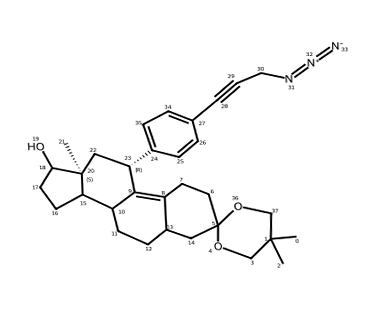 CC1(C)COC2(CCC3=C4C(CCC3C2)C2CCC(O)[C@@]2(C)C[C@@H]4c2ccc(C#CCN=[N+]=[N-])cc2)OC1